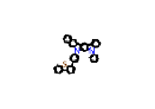 c1ccc(-n2c3ccccc3c3cc4c5cc6ccccc6cc5n(-c5ccc(-c6cccc7c6sc6ccccc67)cc5)c4cc32)cc1